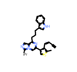 C#C/C=C\c1c(-c2cn3c(C(C)C)ncc3c(CCCc3c[nH]c4ccccc34)n2)csc1C